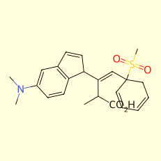 CC(C(=O)O)C(=CC1(S(C)(=O)=O)C=CC=CC1)C1C=Cc2cc(N(C)C)ccc21